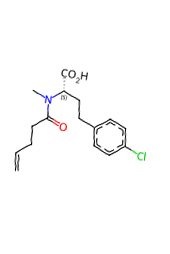 C=CCCC(=O)N(C)[C@@H](CCc1ccc(Cl)cc1)C(=O)O